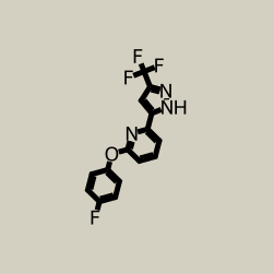 Fc1ccc(Oc2cccc(-c3cc(C(F)(F)F)n[nH]3)n2)cc1